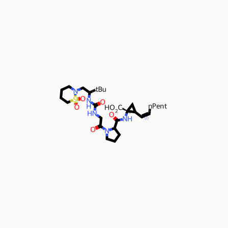 CCCCC/C=C\C1C[C@]1(NC(=O)C1CCCN1C(=O)CNC(=O)NC(CN1CCCCS1(=O)=O)C(C)(C)C)C(=O)O